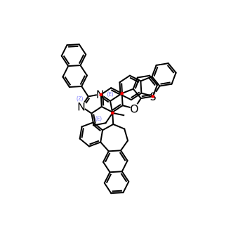 CC1C/C=C(c2ccc3c(oc4ccccc43)c2C2CCc3cc4ccccc4cc3-c3ccccc32)/N=C(c2ccc3ccccc3c2)\N=C/1c1ccc2c(c1)sc1ccccc12